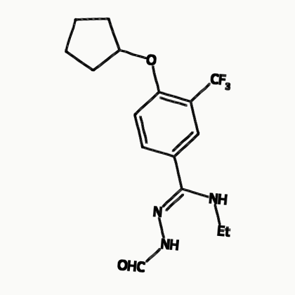 CCN/C(=N\NC=O)c1ccc(OC2CCCC2)c(C(F)(F)F)c1